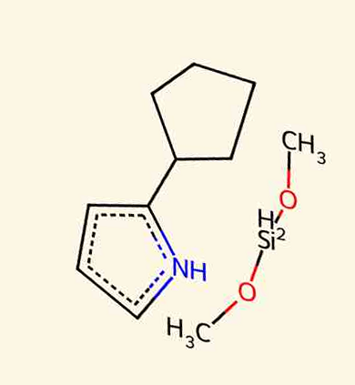 CO[SiH2]OC.c1c[nH]c(C2CCCC2)c1